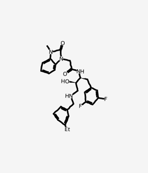 CCc1cccc(CNC[C@@H](O)[C@H](Cc2cc(F)cc(F)c2)NC(=O)Cn2c(=O)n(C)c3ccccc32)c1